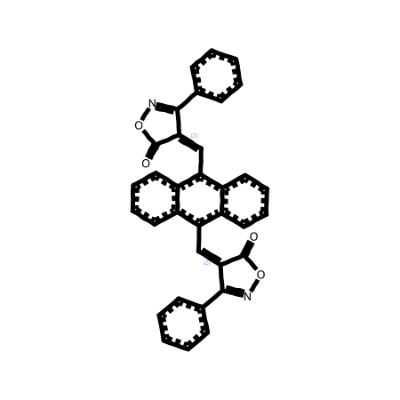 O=C1ON=C(c2ccccc2)/C1=C/c1c2ccccc2c(/C=C2\C(=O)ON=C2c2ccccc2)c2ccccc12